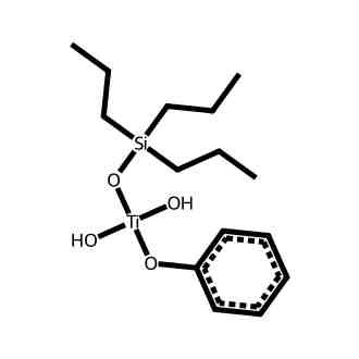 CCC[Si](CCC)(CCC)[O][Ti]([OH])([OH])[O]c1ccccc1